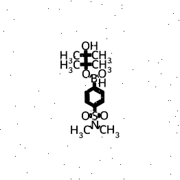 CN(C)S(=O)(=O)c1ccc(B(O)OC(C)(C)C(C)(C)O)cc1